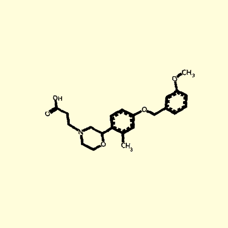 COc1cccc(COc2ccc(C3CN(CCC(=O)O)CCO3)c(C)c2)c1